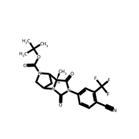 CC(C)(C)OC(=O)N1CC2CC1[C@]1(C)C(=O)N(c3ccc(C#N)c(C(F)(F)F)c3)C(=O)N21